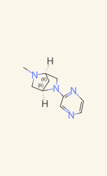 CN1C[C@H]2C[C@@H]1CN2c1cnccn1